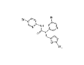 O=C(Nc1ccc(Br)cn1)C(Cc1ccc(C(F)(F)F)o1)c1cncc(Br)c1